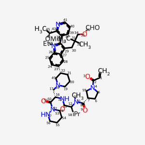 C=CC(=O)N1CC[C@H](C(=O)N(C)C(C(=O)N[C@@H](CN2CCC[C@@H](c3ccc4c(c3)c(CC(C)(C)COC=O)c(-c3cccnc3[C@H](C)OC)n4CC)C2)C(=O)N2CCCCN2)C(C)C)C1